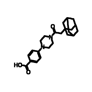 O=C(O)c1ccc(N2CCN(C(=O)CC34CC5CC(CC(C5)C3)C4)CC2)cc1